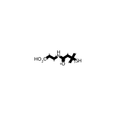 CC(C)(S)CC(=O)NCCC(=O)O